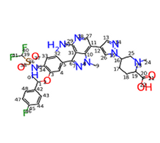 CC(Oc1cc(-c2nn(C)c3c(-c4cnn(C5CCC(C(=O)O)N(C)C5)c4)cnc(N)c23)ccc1NS(=O)(=O)C(F)F)c1ccc(F)cc1